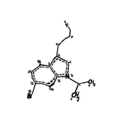 CC(C)n1cc([CH]CF)c2ccc(Br)cc21